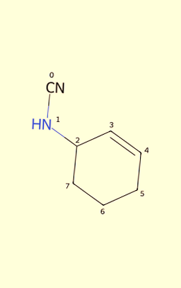 N#CNC1C=CCCC1